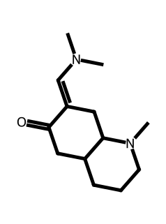 CN(C)C=C1CC2C(CCCN2C)CC1=O